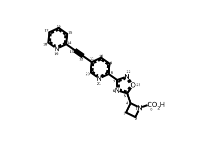 O=C(O)N1CCC1c1nc(-c2ccc(C#Cc3ccccn3)cn2)no1